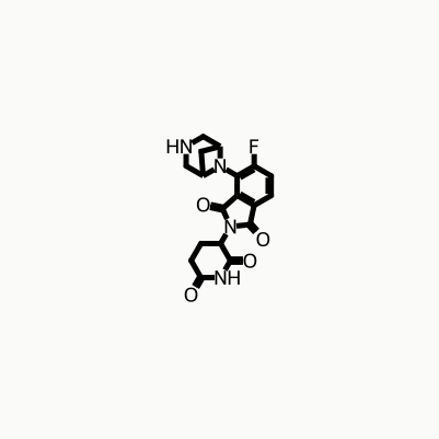 O=C1CCC(N2C(=O)c3ccc(F)c(N4C5CNCC4C5)c3C2=O)C(=O)N1